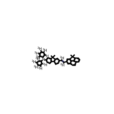 [2H]/C(=C(/[2H])c1cc2c3c(ccc4cccc(c43)C2(C)C)c1)c1ccc2c(c1)C(C)(C)c1cc(N(c3c([2H])c([2H])c([2H])c([2H])c3[2H])c3c([2H])c([2H])c([2H])c([2H])c3[2H])ccc1-2